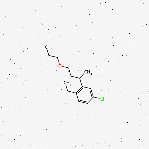 CCCOCCC(C)c1cc(Cl)ccc1CC